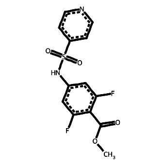 COC(=O)c1c(F)cc(NS(=O)(=O)c2ccncc2)cc1F